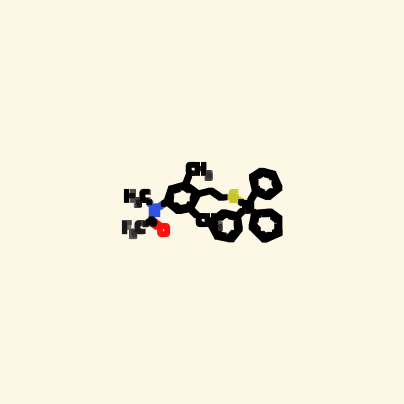 Cc1cc(N(C)C(=O)C(F)(F)F)cc(C)c1CCS[Si](c1ccccc1)(c1ccccc1)c1ccccc1